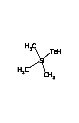 C[Si](C)(C)[TeH]